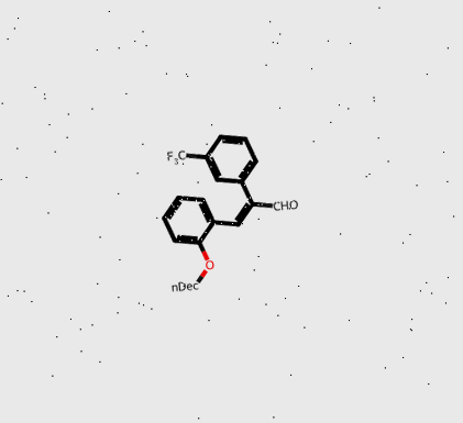 CCCCCCCCCCOc1ccccc1C=C(C=O)c1cccc(C(F)(F)F)c1